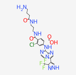 NCCCC(=O)NCCCNC(=O)c1ccc(Nc2nccn3c(-c4c[nH]nc4C(F)(F)F)cnc23)cc1Cl.O=CO